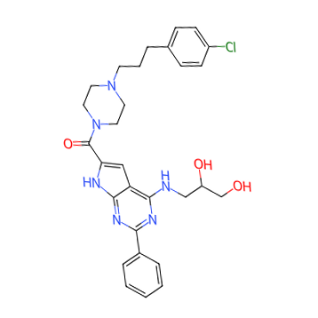 O=C(c1cc2c(NCC(O)CO)nc(-c3ccccc3)nc2[nH]1)N1CCN(CCCc2ccc(Cl)cc2)CC1